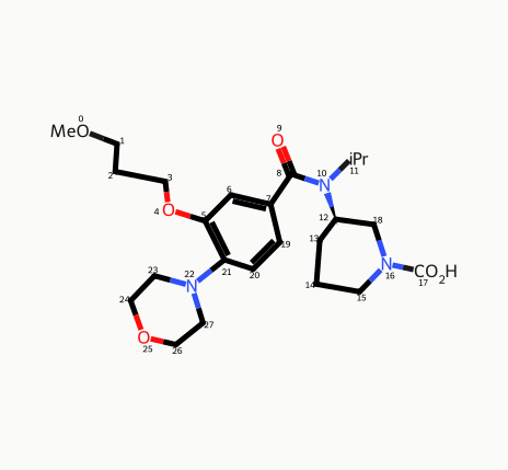 COCCCOc1cc(C(=O)N(C(C)C)[C@@H]2CCCN(C(=O)O)C2)ccc1N1CCOCC1